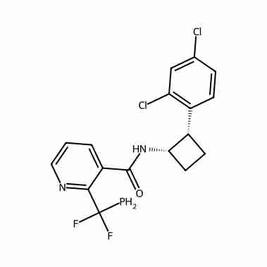 O=C(N[C@H]1CC[C@H]1c1ccc(Cl)cc1Cl)c1cccnc1C(F)(F)P